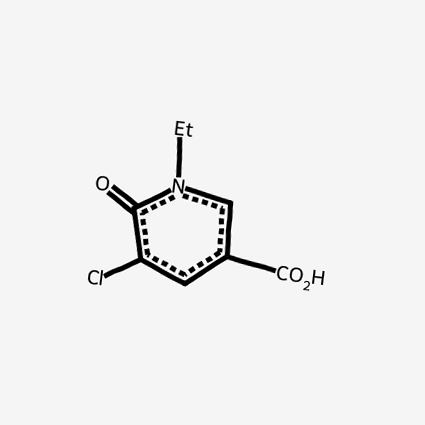 CCn1cc(C(=O)O)cc(Cl)c1=O